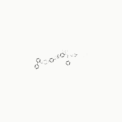 O=C(NS(=O)(=O)c1ccc(N[C@H](CCN2CC(C(=O)O)C2)CSc2ccccc2)c([N+](=O)[O-])c1)c1ccc(N2CCN(Cc3ccccc3-c3ccc(Cl)cc3)CC2)cc1